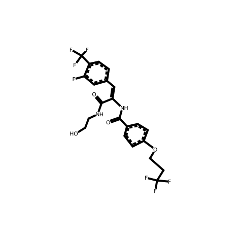 O=C(NCCO)/C(=C\c1ccc(C(F)(F)F)c(F)c1)NC(=O)c1ccc(OCCC(F)(F)F)cc1